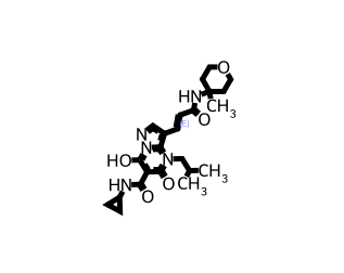 CC(C)Cn1c(=O)c(C(=O)NC2CC2)c(O)n2ncc(/C=C/C(=O)NC3(C)CCOCC3)c12